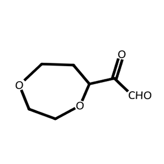 O=CC(=O)C1CCOCCO1